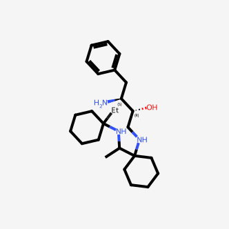 CCC1(NC(C)C2(NC[C@@H](O)[C@@H](N)Cc3ccccc3)CCCCC2)CCCCC1